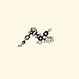 CCOC(=O)[C@@H](OC(C)(C)C)c1c(C)cc2nc(-c3cnc4c(n3)c(C3CCN(C5CN(C(C)=O)C5)CC3)nn4C)sc2c1-c1ccc(Cl)cc1